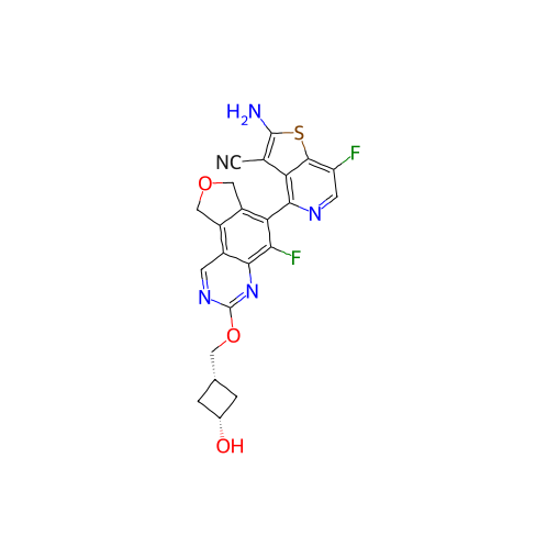 N#Cc1c(N)sc2c(F)cnc(-c3c4c(c5cnc(OC[C@H]6C[C@@H](O)C6)nc5c3F)COC4)c12